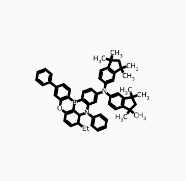 CCC1C=CC2=C3B(c4ccc(-c5ccccc5)cc4O2)c2ccc(N(c4ccc5c(c4)C(C)(C)CC5(C)C)c4ccc5c(c4)C(C)(C)CC5(C)C)cc2N(c2ccccc2)C31